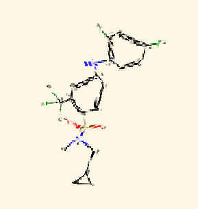 CN(CC1CC1)S(=O)(=O)c1ccc(Nc2ccc(F)cc2F)cc1C(F)(F)F